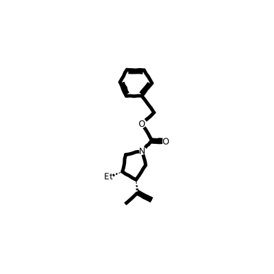 C=C(C)[C@H]1CN(C(=O)OCc2ccccc2)C[C@H]1CC